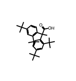 CC(C)(C)c1ccc(C(C)(C(=O)O)c2ccc(C(C)(C)C)cc2C(C)(C)C)c(C(C)(C)C)c1